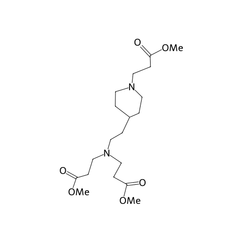 COC(=O)CCN(CCC(=O)OC)CCC1CCN(CCC(=O)OC)CC1